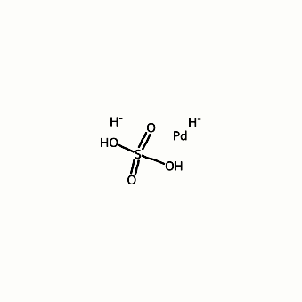 O=S(=O)(O)O.[H-].[H-].[Pd]